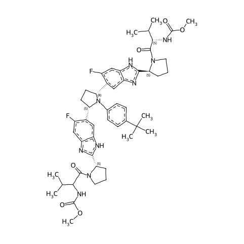 COC(=O)NC(C(=O)N1CCC[C@H]1c1nc2cc(F)c([C@@H]3CC[C@H](c4cc5nc([C@@H]6CCCN6C(=O)[C@@H](NC(=O)OC)C(C)C)[nH]c5cc4F)N3c3ccc(C(C)(C)C)cc3)cc2[nH]1)C(C)C